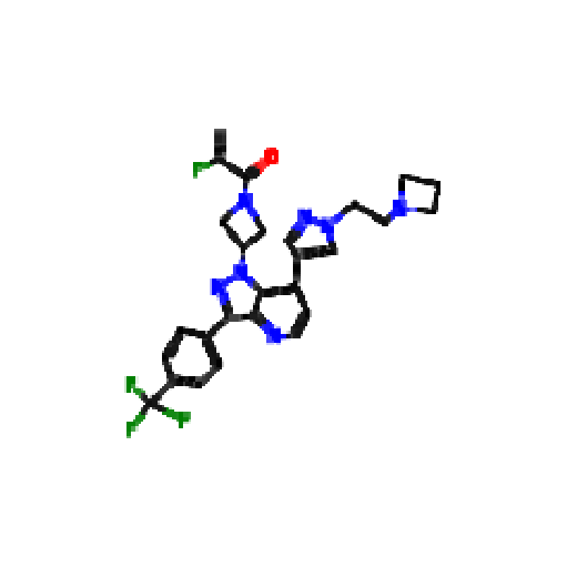 C=C(F)C(=O)N1CC(n2nc(-c3ccc(C(F)(F)F)cc3)c3nccc(-c4cnn(CCN5CCC5)c4)c32)C1